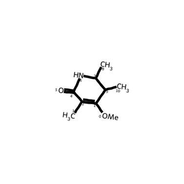 COC1=C(C)C(=O)NC(C)C1C